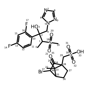 CC(C(O)(Cn1cncn1)c1ccc(F)cc1F)S(C)(=O)=O.CC1(C)C2CCC1(CS(=O)(=O)O)C(=O)C2Br